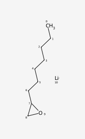 CCCCCCCC1CO1.[Li]